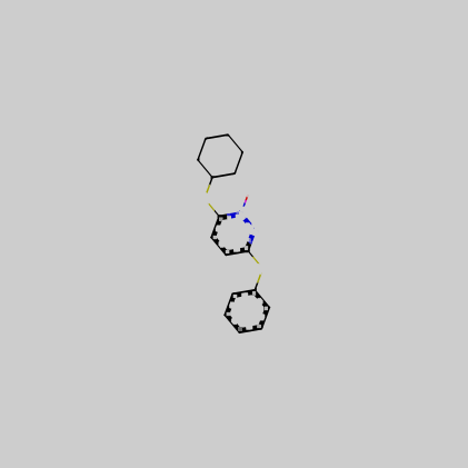 [O-][n+]1nc(Sc2ccccc2)ccc1SC1CCCCC1